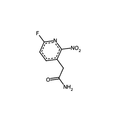 NC(=O)Cc1ccc(F)nc1[N+](=O)[O-]